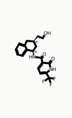 O=C(N[C@@H]1C[C@H](CCO)Cc2ccccc21)c1ccc(C(F)(F)F)[nH]c1=O